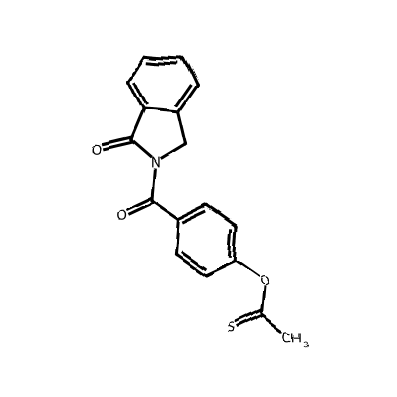 CC(=S)Oc1ccc(C(=O)N2Cc3ccccc3C2=O)cc1